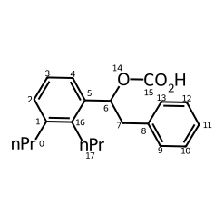 CCCc1cccc(C(Cc2ccccc2)OC(=O)O)c1CCC